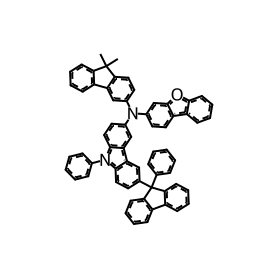 CC1(C)c2ccccc2-c2cc(N(c3ccc4c(c3)oc3ccccc34)c3ccc4c(c3)c3cc(C5(c6ccccc6)c6ccccc6-c6ccccc65)ccc3n4-c3ccccc3)ccc21